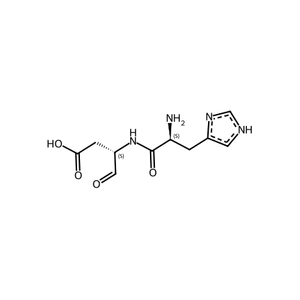 N[C@@H](Cc1c[nH]cn1)C(=O)N[C@H](C=O)CC(=O)O